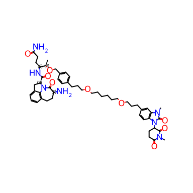 C[C@@H](OCc1ccc(CCCOCCCCCCOCCCc2ccc3c(c2)n(C)c(=O)n3C2CCC(=O)N(C)C2=O)cc1)[C@H](CCC(N)=O)NC(=O)[C@@H]1Cc2cccc3c2N1C(=O)[C@@H](N)CC3